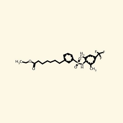 CCOC(=O)CCCCCCc1cccc(S(=O)(=O)Nc2c(C)cc(C(F)(F)F)cc2C)c1